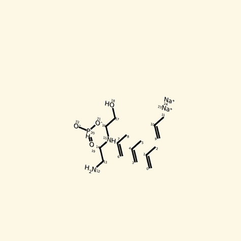 C=CC.C=CC.C=CC.C=CC.NCCNCCO.O=[PH]([O-])[O-].[Na+].[Na+]